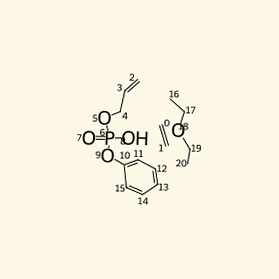 C=C.C=CCOP(=O)(O)Oc1ccccc1.CCOCC